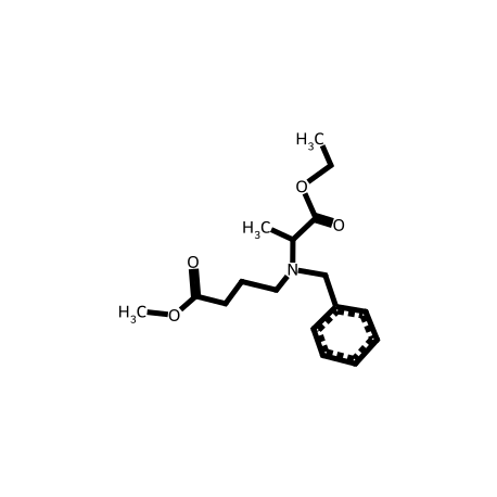 CCOC(=O)C(C)N(CCCC(=O)OC)Cc1ccccc1